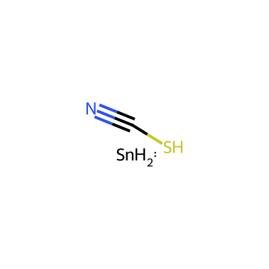 N#CS.[SnH2]